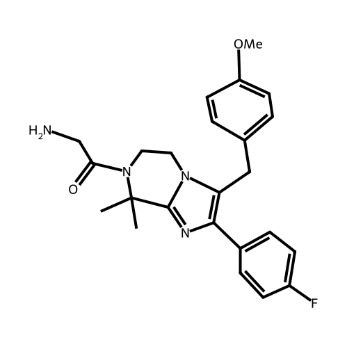 COc1ccc(Cc2c(-c3ccc(F)cc3)nc3n2CCN(C(=O)CN)C3(C)C)cc1